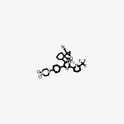 N#CC1(C2(C(N)=O)CCCCC2c2oc(-c3cccc(C(F)(F)F)n3)nc2-c2ccc(N3CCS(=O)(=O)CC3)cc2)CC1